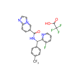 O=C(NC(c1ccc(C(F)(F)F)cc1)c1ncccc1F)c1ccc2nccn2c1.O=C(O)C(F)(F)F